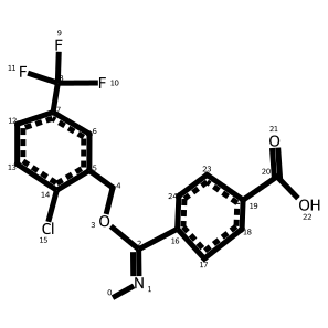 C/N=C(\OCc1cc(C(F)(F)F)ccc1Cl)c1ccc(C(=O)O)cc1